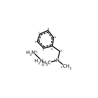 CN(C)Cc1ccccc1.NN